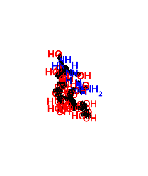 CN(C)/N=N/c1[nH]cnc1C(N)=O.CO[C@H](C(=O)[C@@H](O)[C@@H](C)O)[C@@H]1Cc2cc3cc(O[C@H]4C[C@@H](O[C@H]5C[C@@H](O)[C@H](O)[C@@H](C)O5)[C@H](O)[C@@H](C)O4)c(C)c(O)c3c(O)c2C(=O)[C@H]1O[C@H]1C[C@@H](O[C@H]2C[C@@H](O[C@H]3C[C@](C)(O)[C@H](O)[C@@H](C)O3)[C@@H](O)[C@@H](C)O2)[C@H](O)[C@@H](C)O1.O=C1c2c(O)ccc(O)c2C(=O)c2c(NCCNCCO)ccc(NCCNCCO)c21.O=P(O)(O)O